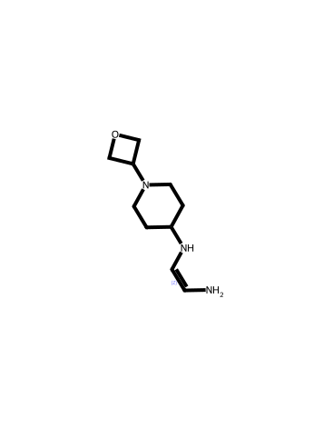 N/C=C\NC1CCN(C2COC2)CC1